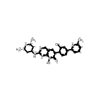 CCn1c(=O)c(-c2ccc(-c3cccc(C)n3)cc2Cl)cc2cnc(NC3C[C@@H](C)O[C@@H](C)C3)nc21